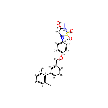 Cc1cccc(C)c1-c1cccc(COc2ccc(N3CC(=O)NS3(=O)=O)cc2)c1